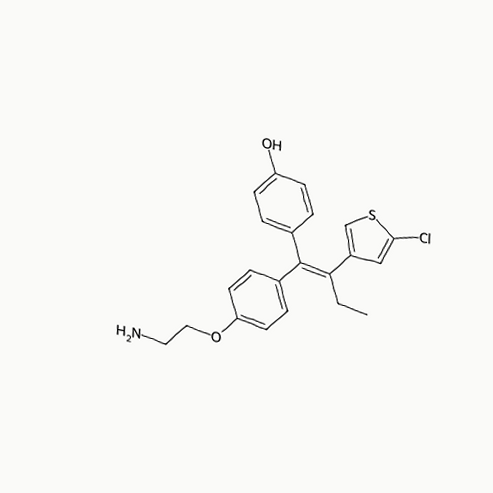 CC/C(=C(/c1ccc(O)cc1)c1ccc(OCCN)cc1)c1csc(Cl)c1